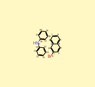 Brc1ccc2ccccc2c1.c1ccc(Nc2ccccc2)cc1